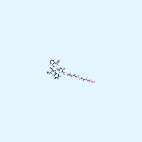 CN(C(=O)Cc1ccccc1[N+](=O)[O-])[C@H](CN1CC[C@H](OCCOCCOCCOCCOCO)C1)c1ccccc1